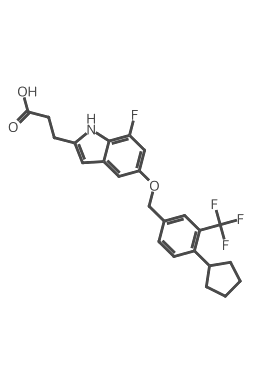 O=C(O)CCc1cc2cc(OCc3ccc(C4CCCC4)c(C(F)(F)F)c3)cc(F)c2[nH]1